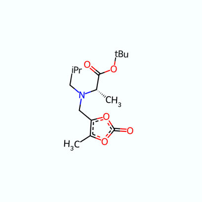 Cc1oc(=O)oc1CN(CC(C)C)[C@@H](C)C(=O)OC(C)(C)C